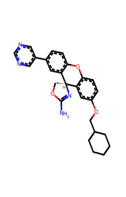 NC1=N[C@]2(CO1)c1cc(OCC3CCCCC3)ccc1Oc1ccc(-c3cncnc3)cc12